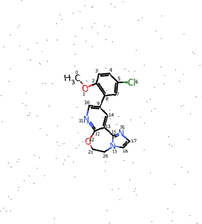 COc1ccc(Cl)cc1-c1cnc2c(c1)-c1nccn1CCO2